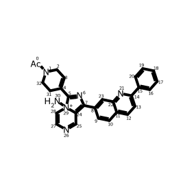 CC(=O)N1CC=C(C2=NC(c3ccc4ccc(-c5ccccc5)nc4c3)=C3C=NC=C[N+]23N)CC1